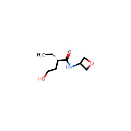 CC[C@@H](CCO)C(=O)NC1COC1